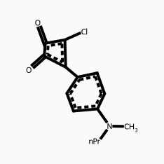 CCCN(C)c1ccc(-c2c(Cl)c(=O)c2=O)cc1